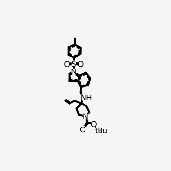 C=CCC1(NCc2cccc3c2ccn3S(=O)(=O)c2ccc(C)cc2)CCN(C(=O)OC(C)(C)C)CC1